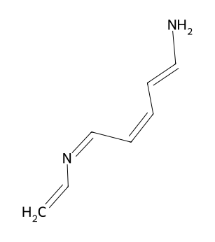 C=C\N=C/C=C\C=C\N